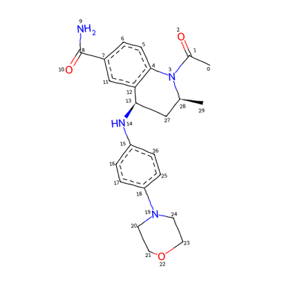 CC(=O)N1c2ccc(C(N)=O)cc2[C@H](Nc2ccc(N3CCOCC3)cc2)C[C@@H]1C